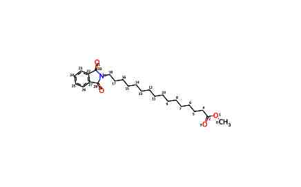 COC(=O)CCCCCCCCCCCCCCCN1C(=O)c2ccccc2C1=O